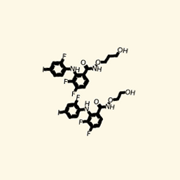 O=C(NOCCCO)c1ccc(F)c(F)c1Nc1ccc(I)cc1F.O=C(NOCCO)c1ccc(F)c(F)c1Nc1ccc(I)cc1F